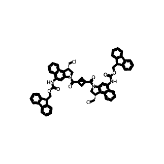 O=C(Nc1cc2c(c3ccccc13)[C@H](CCl)CN2C(=O)C12CC(C(=O)N3C[C@@H](CCl)c4c3cc(NC(=O)OCC3c5ccccc5-c5ccccc53)c3ccccc43)(C1)C2)OCC1c2ccccc2-c2ccccc21